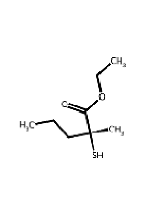 CCC[C@@](C)(S)C(=O)OCC